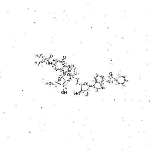 COP(=O)(CCC1OC(n2cnc3c(NC(=O)c4ccccc4)ncnc32)C(F)C1O)OC1C(CO)C(CO)OC1n1cnc2c(=O)[nH]c(NC(=O)C(C)C)nc21